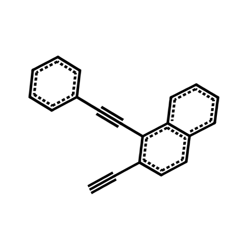 C#Cc1ccc2ccccc2c1C#Cc1ccccc1